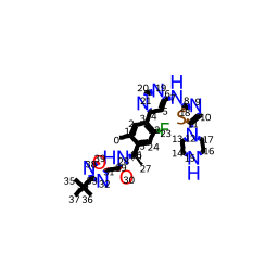 Cc1cc(-c2cc(Nc3ncc(N4CCNCC4)s3)ncn2)c(F)cc1[C@@H](C)NC(=O)c1nc(C(C)(C)C)no1